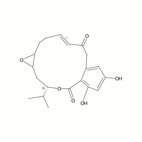 CC(C)[C@@H]1CC2OC2CC/C=C/C(=O)Cc2cc(O)cc(O)c2C(=O)O1